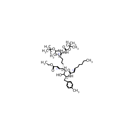 CCCCC/C=C/C(=O)N[C@@H](Cc1ccc(C)cc1)C(O)N[C@H](/C=C/C(=O)OCC)CCC/N=C(\NC(=O)OC(C)(C)C)NC(O)OC(C)(C)C